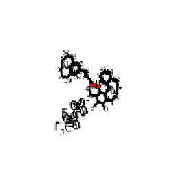 Cc1c(C)c2c(c3c1CC[n+]1ccc4ccccc4c1-3)-c1cccc(/C=C/c3cc4c5c(c3)CCCN5CCC4)[n+]1CC2.O=S(=O)([O-])C(F)(F)F.O=S(=O)([O-])C(F)(F)F